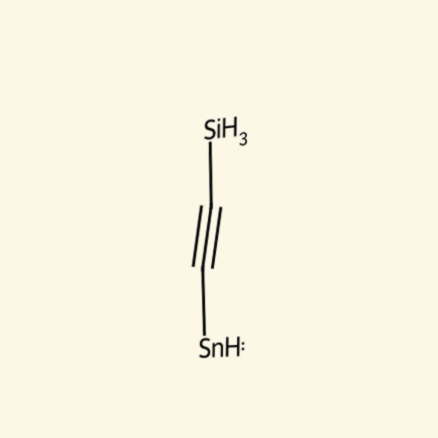 [SiH3]C#[C][SnH]